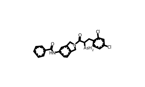 O=C(Nc1ccc2c(c1)CN(C(=O)C([AsH2])Cc1ccc(Cl)cc1Cl)C2)c1ccccc1